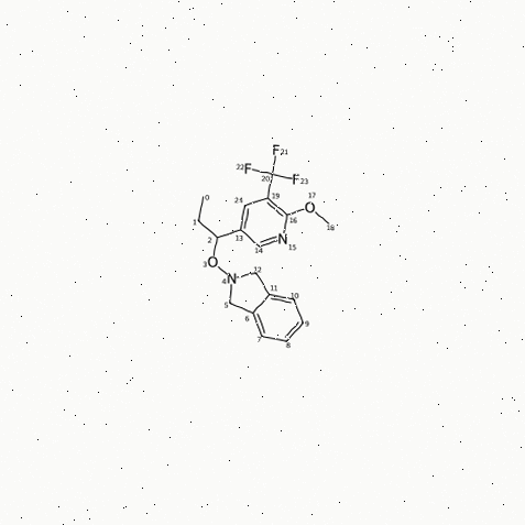 CCC(ON1Cc2ccccc2C1)c1cnc(OC)c(C(F)(F)F)c1